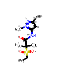 CC(C)CS(=O)(=O)C(C)(C)C(=O)Nc1cc(C(C)(C)C)nn1C